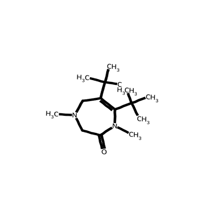 CN1CC(=O)N(C)C(C(C)(C)C)=C(C(C)(C)C)C1